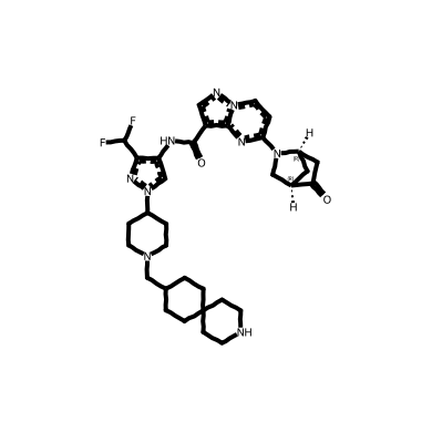 O=C(Nc1cn(C2CCN(CC3CCC4(CCNCC4)CC3)CC2)nc1C(F)F)c1cnn2ccc(N3C[C@H]4C[C@@H]3CC4=O)nc12